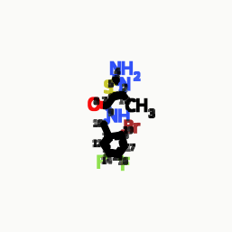 Cc1nc(N)sc1C(=O)NCc1cc(F)c(F)cc1Br